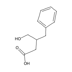 O=C(O)CC(CO)Cc1ccccc1